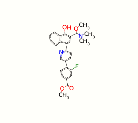 COC(=O)c1ccc(-c2ccc(-c3cc(C(OC)N(C)C)c(O)c4ccccc34)nc2)c(F)c1